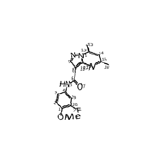 COc1ccc(NC(=O)c2cnn3c(C)cc(C)nc23)cc1F